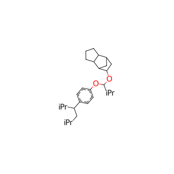 CC(C)CC(c1ccc(OC(OC2CC3CC2C2CCCC32)C(C)C)cc1)C(C)C